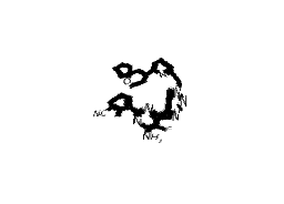 Cc1c(C#N)cccc1-c1nc(N)c(F)c(-c2cn(Cc3cccc(C4CCOC5(CCCC5)C4)n3)nn2)n1